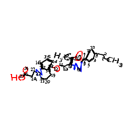 CCCc1ccc(-c2nc(CCOc3cccc4c3CCCN4CCC(=O)O)c(C)o2)cc1